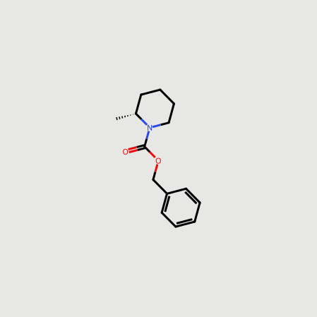 C[C@@H]1CCCCN1C(=O)OCc1ccccc1